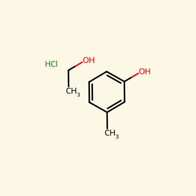 CCO.Cc1cccc(O)c1.Cl